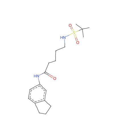 CC(C)(C)S(=O)(=O)NCCCCC(=O)Nc1ccc2c(c1)CCC2